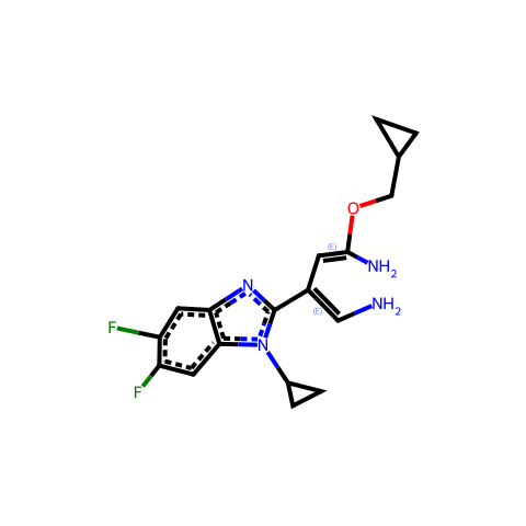 N/C=C(\C=C(/N)OCC1CC1)c1nc2cc(F)c(F)cc2n1C1CC1